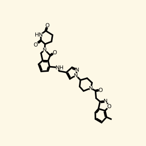 Cc1cccc2c(CC(=O)N3CCC(n4cc(CNc5cccc6c5C(=O)N(C5CCC(=O)NC5=O)C6)cn4)CC3)noc12